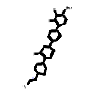 C/C=C/C1CC=C(c2ccc(-c3ccc(-c4ccc(CCCCCC)c(F)c4F)cc3)cc2F)CC1